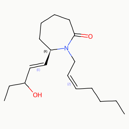 CCCC/C=C\CN1C(=O)CCCC[C@@H]1/C=C/C(O)CC